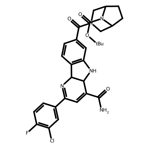 CC(C)(C)OC(=O)N1C2CCC1CN(C(=O)c1ccc3c(c1)NC1C(C(N)=O)=CC(c4ccc(F)c(Cl)c4)=NC31)C2